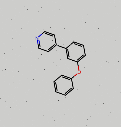 [c]1ccc(Oc2ccccc2)cc1-c1ccncc1